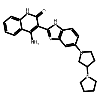 Nc1c(-c2nc3cc(N4CCC(N5CCCC5)C4)ccc3[nH]2)c(=O)[nH]c2ccccc12